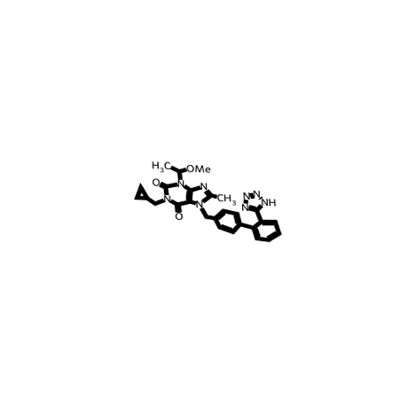 COC(C)n1c(=O)n(CC2CC2)c(=O)c2c1nc(C)n2Cc1ccc(-c2ccccc2-c2nnn[nH]2)cc1